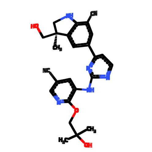 CC(C)(O)COc1ncc(C#N)cc1Nc1nccc(-c2cc(C#N)c3c(c2)[C@@](C)(CO)CN3)n1